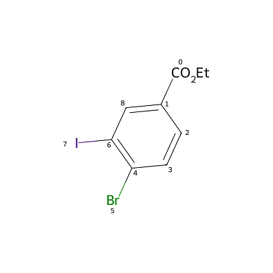 CCOC(=O)c1ccc(Br)c(I)c1